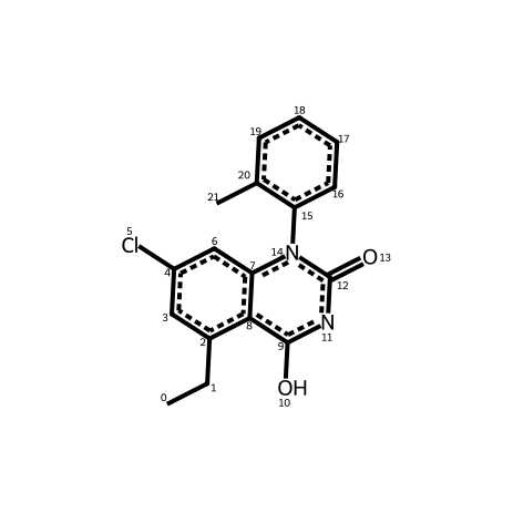 CCc1cc(Cl)cc2c1c(O)nc(=O)n2-c1ccccc1C